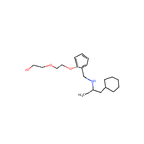 CC(CC1CCCCC1)NCc1ccccc1OCCOCCO